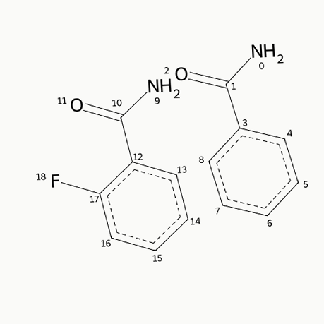 NC(=O)c1ccccc1.NC(=O)c1ccccc1F